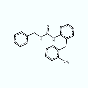 Cc1ccccc1Cc1cccnc1NC(=S)NCc1ccccc1